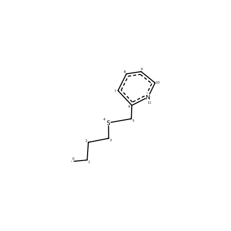 [CH2]CCCSCc1ccccn1